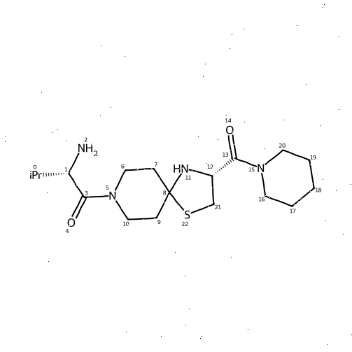 CC(C)[C@H](N)C(=O)N1CCC2(CC1)N[C@H](C(=O)N1CCCCC1)CS2